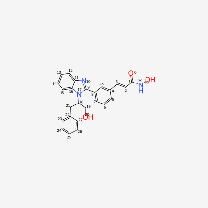 O=C(/C=C/c1cccc(-c2nc3ccccc3n2C(CO)Cc2ccccc2)c1)NO